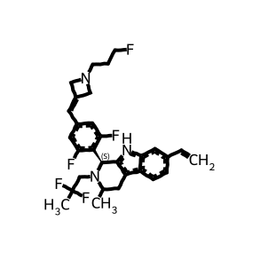 C=Cc1ccc2c3c([nH]c2c1)[C@H](c1c(F)cc(C=C2CN(CCCF)C2)cc1F)N(CC(C)(F)F)C(C)C3